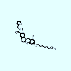 CCCCCCCOc1cc(F)c(CN2c3ccc(C(=O)NCc4ccco4)cc3SCC2O)c(F)c1